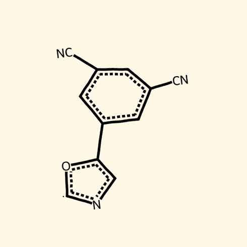 N#Cc1cc(C#N)cc(-c2cn[c]o2)c1